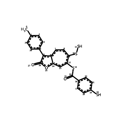 Cc1ccc(-c2c3ccc(SS)c(SC(=O)c4ccc(S)cc4)cc-3oc2=O)cc1